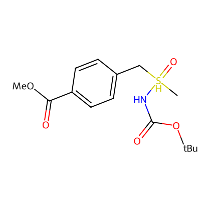 COC(=O)c1ccc(C[SH](C)(=O)NC(=O)OC(C)(C)C)cc1